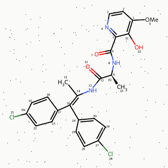 COc1ccnc(C(=O)N[C@@H](C)C(=O)NC(C)=C(c2ccc(Cl)cc2)c2ccc(Cl)cc2)c1O